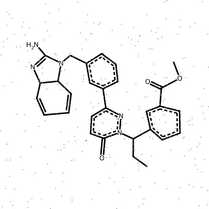 CCC(c1cccc(C(=O)OC)c1)n1nc(-c2cccc(CN3C(N)=NC4C=CC=CC43)c2)ccc1=O